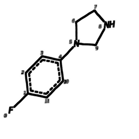 Fc1ccc(N2CCNC2)cc1